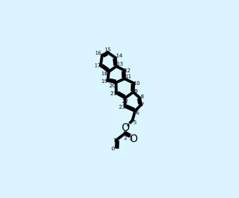 C=CC(=O)OCc1ccc2cc3cc4ccccc4cc3cc2c1